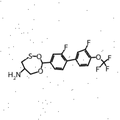 NC1COC(c2ccc(-c3ccc(OC(F)(F)F)c(F)c3)c(F)c2)OSC1